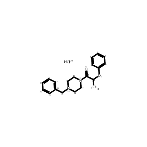 CC(Oc1ccccc1)C(=O)N1CCN(Cc2ccccc2)CC1.Cl